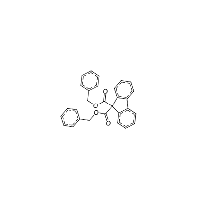 O=C(OCc1ccccc1)C1(C(=O)OCc2ccccc2)c2ccccc2-c2ccccc21